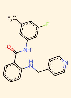 O=C(Nc1cc(F)cc(C(F)(F)F)c1)c1ccccc1NCc1ccncc1